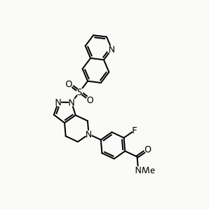 CNC(=O)c1ccc(N2CCc3cnn(S(=O)(=O)c4ccc5ncccc5c4)c3C2)cc1F